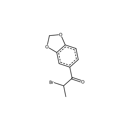 CC(Br)C(=O)c1ccc2c(c1)OCO2